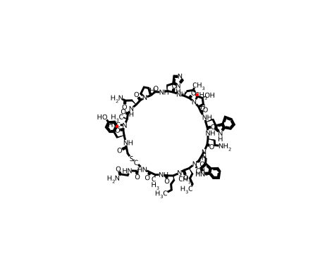 CCCC[C@H]1C(=O)N(C)[C@@H](CCCC)C(=O)N[C@@H](C)C(=O)N[C@H](C(=O)NCC(N)=O)CSCC(=O)N[C@@H](Cc2ccc(O)cc2)C(=O)N(C)[C@@H](C)C(=O)N[C@@H](CC(N)=O)C(=O)N2CCC[C@H]2C(=O)N[C@@H](Cc2cnc[nH]2)C(=O)N[C@@H](CC(C)C)C(=O)N2C[C@H](O)C[C@H]2C(=O)N[C@@H](Cc2c[nH]c3ccccc23)C(=O)N[C@@H](CCN)C(=O)N[C@@H](Cc2c[nH]c3ccccc23)C(=O)N1C